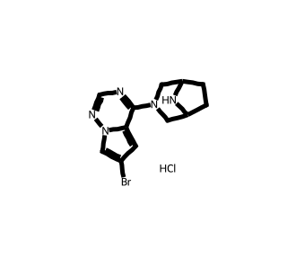 Brc1cc2c(N3CC4CCC(C3)N4)ncnn2c1.Cl